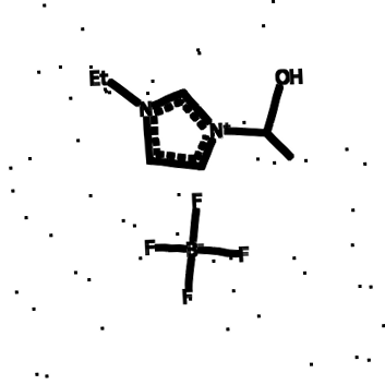 CCn1cc[n+](C(C)O)c1.F[B-](F)(F)F